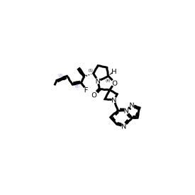 C=C(/C(F)=C\C=C/C)[C@@H]1CC[C@H]2OC3(CN(c4ccnc5ccnn45)C3)C(=O)N21